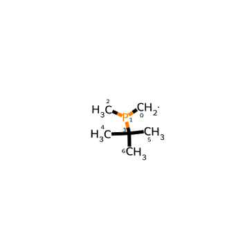 [CH2]P(C)C(C)(C)C